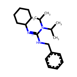 CC(C)N(/C(=N\C1CCCCC1)NCc1ccccc1)C(C)C